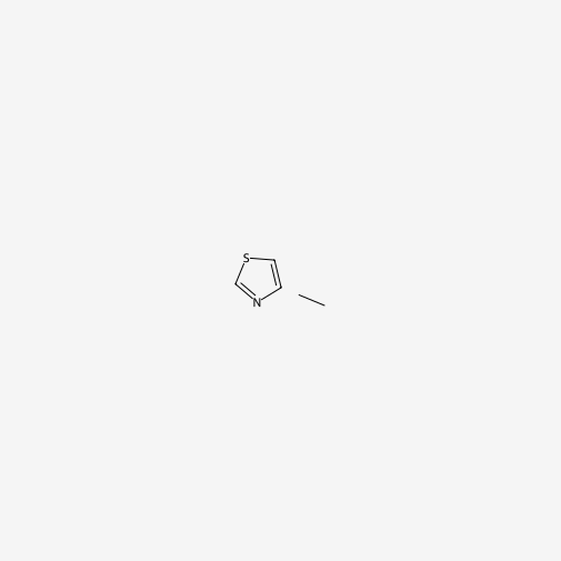 CC.c1cscn1